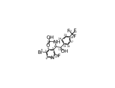 O=C(O)N[C@H](c1cc(Br)cnc1F)[C@H](O)c1ccc(C(F)(F)F)cc1